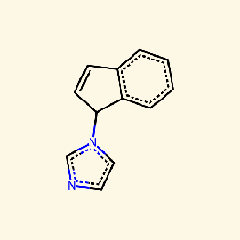 C1=CC(n2ccnc2)c2ccccc21